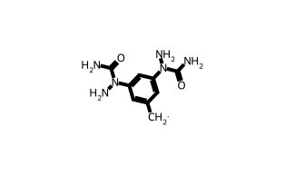 [CH2]c1cc(N(N)C(N)=O)cc(N(N)C(N)=O)c1